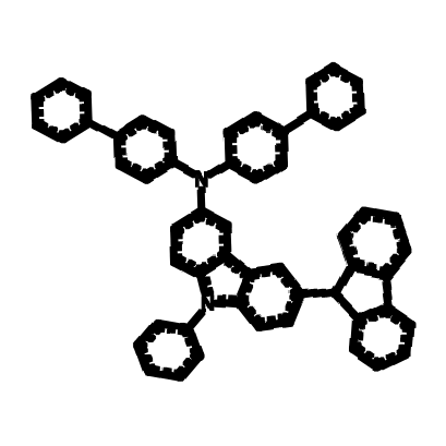 c1ccc(-c2ccc(N(c3ccc(-c4ccccc4)cc3)c3ccc4c(c3)c3cc(C5c6ccccc6-c6ccccc65)ccc3n4-c3ccccc3)cc2)cc1